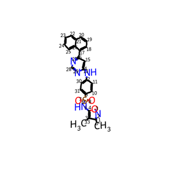 Cc1noc(NS(=O)(=O)c2ccc(Nc3cc(-c4cccc5ccccc45)ncn3)cc2)c1C